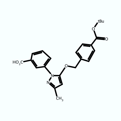 Cc1cc(OCc2ccc(C(=O)OC(C)(C)C)cc2)n(-c2cccc(C(=O)O)c2)n1